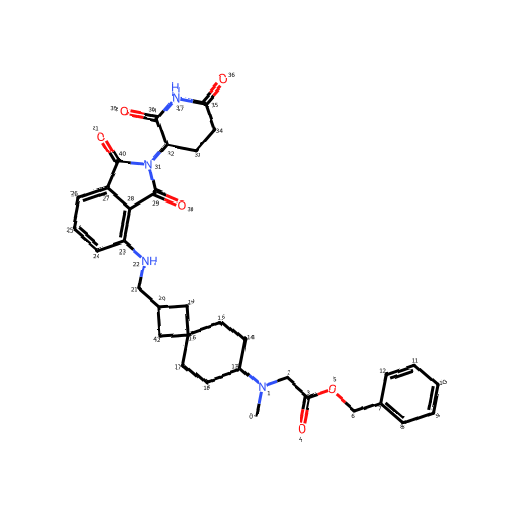 CN(CC(=O)OCc1ccccc1)C1CCC2(CC1)CC(CNc1cccc3c1C(=O)N(C1CCC(=O)NC1=O)C3=O)C2